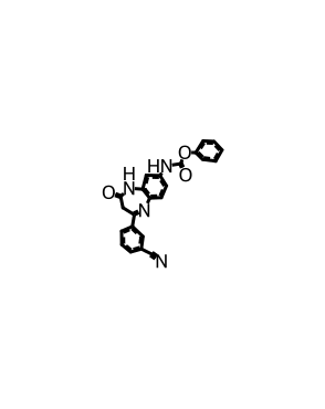 N#Cc1cccc(C2=Nc3ccc(NC(=O)Oc4ccccc4)cc3NC(=O)C2)c1